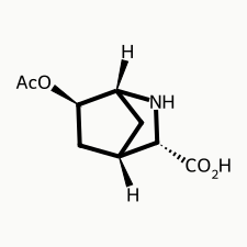 CC(=O)O[C@@H]1C[C@@H]2C[C@H]1N[C@@H]2C(=O)O